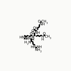 CC(=O)NCCCC[C@H](NC(=O)[C@H](CCCCNC(C)=O)NC(=O)[C@H](Cc1c[nH]cn1)NC(=O)[C@@H](N)CCCNC(=N)N)C(=O)O